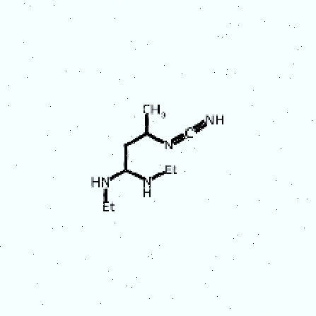 CCNC(CC(C)N=C=N)NCC